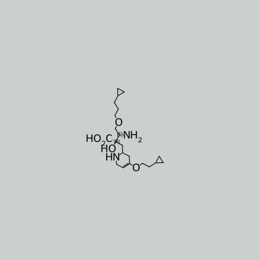 N[C@@H](COCCCC1CC1)[C@](O)(CC1CC(OCCC2CC2)=CCN1)C(=O)O